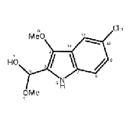 COc1c(C(O)OC)[nH]c2ccc(Cl)cc12